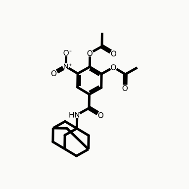 CC(=O)Oc1cc(C(=O)NC23CC4CC(CC(C4)C2)C3)cc([N+](=O)[O-])c1OC(C)=O